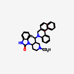 CCCC(C1CN(C(=O)O)CCC1n1c(=O)[nH]c2ccccc21)N(Cc1ccccc1)c1ccccc1Cc1ccccc1